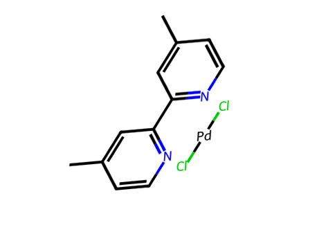 Cc1ccnc(-c2cc(C)ccn2)c1.[Cl][Pd][Cl]